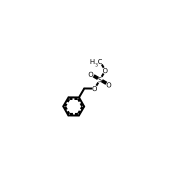 COS(=O)(=O)OCc1ccccc1